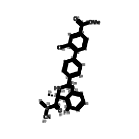 COC(=O)c1ccc(-c2ccc(C(=O)N[C@](C)(C(=O)N(C)C#N)c3c(F)cccc3F)cc2)c(Cl)c1